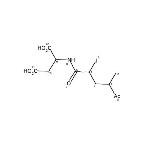 CC(=O)C(C)CC(I)C(=O)NC(CC(=O)O)C(=O)O